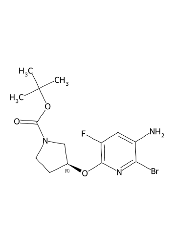 CC(C)(C)OC(=O)N1CC[C@H](Oc2nc(Br)c(N)cc2F)C1